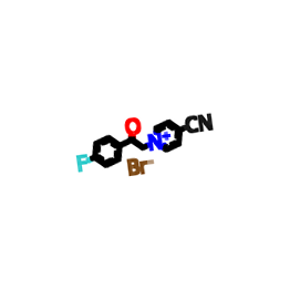 N#Cc1cc[n+](CC(=O)c2ccc(F)cc2)cc1.[Br-]